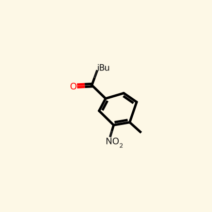 CCC(C)C(=O)c1ccc(C)c([N+](=O)[O-])c1